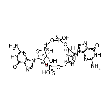 Nc1nc2c(ncn2[C@@H]2S[C@@H]3COP(O)(=S)O[C@@H]4[C@H](O)[C@@H](COP(O)(=S)O[C@@H]2[C@@H]3O)S[C@H]4n2cnc3c(=O)[nH]c(N)nc32)c(=O)[nH]1